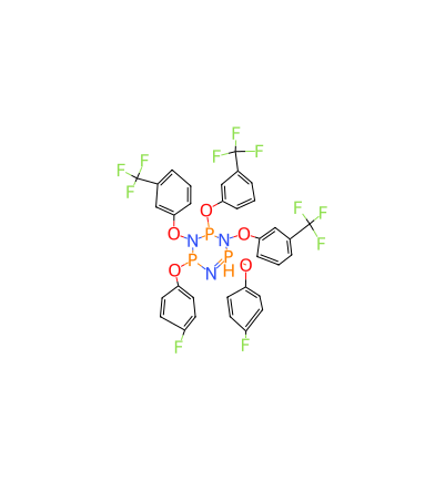 Fc1ccc(OP2N=[PH](Oc3ccc(F)cc3)N(Oc3cccc(C(F)(F)F)c3)P(Oc3cccc(C(F)(F)F)c3)N2Oc2cccc(C(F)(F)F)c2)cc1